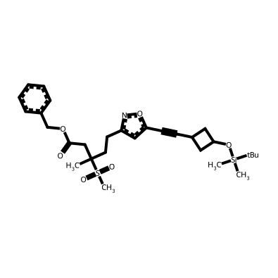 CC(C)(C)[Si](C)(C)OC1CC(C#Cc2cc(CCC(C)(CC(=O)OCc3ccccc3)S(C)(=O)=O)no2)C1